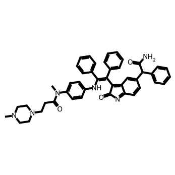 CN1CCN(CCC(=O)N(C)c2ccc(NC(=C(C3=c4cc(C(C(N)=O)c5ccccc5)ccc4=NC3=O)c3ccccc3)c3ccccc3)cc2)CC1